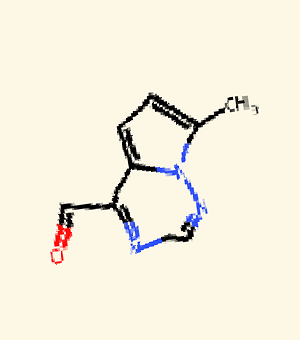 Cc1ccc2c(C=O)ncnn12